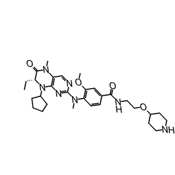 CC[C@@H]1C(=O)N(C)c2cnc(N(C)c3ccc(C(=O)NCCOC4CCNCC4)cc3OC)nc2N1C1CCCC1